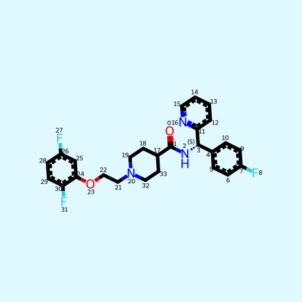 O=C(N[C@@H](c1ccc(F)cc1)c1ccccn1)C1CCN(CCOc2cc(F)ccc2F)CC1